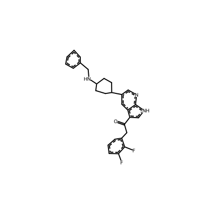 O=C(Cc1cccc(F)c1F)c1c[nH]c2ncc(C3CCC(NCc4ccccc4)CC3)cc12